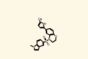 Cn1ccc2cc(S(=O)(=O)N3CCOc4ccc(-c5ccc(C#N)[nH]5)cc43)ccc21